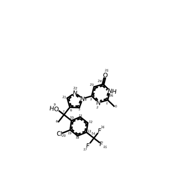 Cc1nc(-n2cc(C(C)(O)c3ccc(C(F)(F)F)cc3Cl)cn2)cc(=O)[nH]1